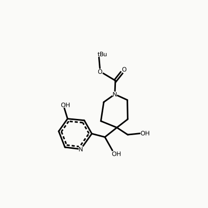 CC(C)(C)OC(=O)N1CCC(CO)(C(O)c2cc(O)ccn2)CC1